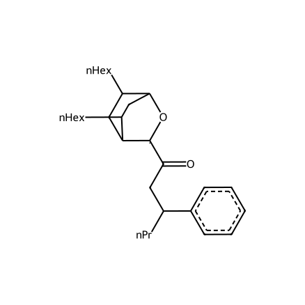 [CH2]CCC(CC(=O)[C]1OC2CC(CCCCCC)C1CC2CCCCCC)c1ccccc1